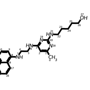 Cc1cc(NCCNc2ccnc3cc(Cl)ccc23)nc(NCCCCCO)n1